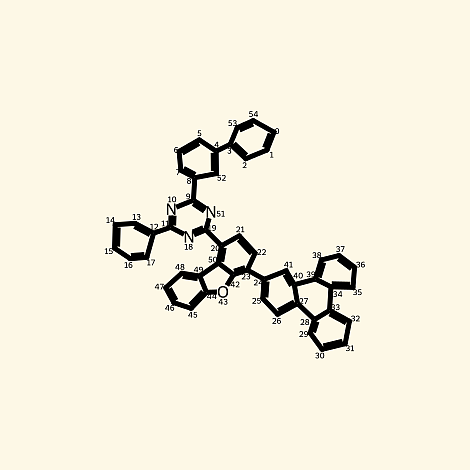 c1ccc(-c2cccc(-c3nc(-c4ccccc4)nc(-c4ccc(-c5ccc6c7ccccc7c7ccccc7c6c5)c5oc6ccccc6c45)n3)c2)cc1